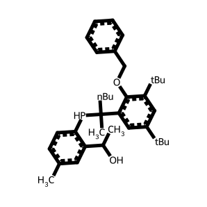 CCCCC(C)(Pc1ccc(C)cc1C(C)O)c1cc(C(C)(C)C)cc(C(C)(C)C)c1OCc1ccccc1